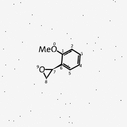 COc1ccccc1[C@H]1CO1